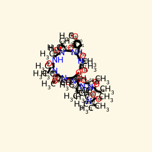 CCC(C)[C@H]1C(=O)N[C@@H](C)C(=O)N(C)[C@@H](CC(C)C)C(=O)N[C@@H](Cc2ccc(OC)cc2)C(=O)N(C)[C@@H](C)C(=O)O[C@H](C)[C@H](N(C)C(=O)[C@H](CC(C)C)N(C)C(=O)[C@H](COC)N(C)C(=O)C(OC(=O)[C@H](C(C)C)N(C)C)C(C)C)C(=O)N(C)[C@@H](COC)C(=O)N1C